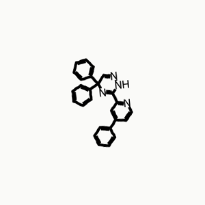 C1=NNC(c2cc(-c3ccccc3)ccn2)=NC1(c1ccccc1)c1ccccc1